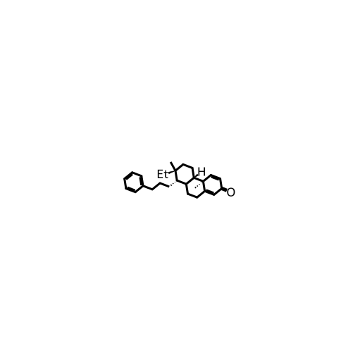 CC[C@@]1(C)CC[C@H]2C(CCC3=CC(=O)C=C[C@@]32C)[C@@H]1CCCc1ccccc1